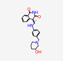 O=C1NC(=O)c2ccccc2/C1=C\Nc1ccc(CN2CCCC(O)C2)cc1